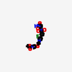 CC(C)(C)OC(=O)N1CCC(OC2CC(N3CC[C@@H](c4ccc5c(c4)C(=O)N([C@@H]4CCC(=O)NC4=O)C5=O)[C@@H](F)C3)C2)CC1